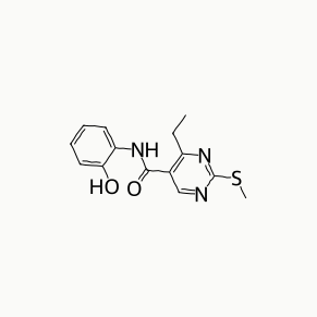 CCc1nc(SC)ncc1C(=O)Nc1ccccc1O